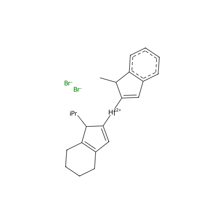 CC1[C]([Hf+2][C]2=CC3=C(CCCC3)C2C(C)C)=Cc2ccccc21.[Br-].[Br-]